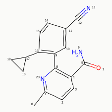 Cc1ccc(C(N)=O)c(-c2cc(C#N)ccc2C2CC2)n1